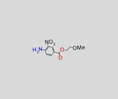 COCCOC(=O)c1ccc(N)c([N+](=O)[O-])c1